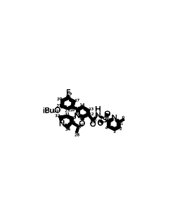 Cc1cccc(S(=O)(=O)NC(=O)c2ccc(-c3cc(F)cc(OCC(C)C)c3)nc2OC(C)c2cccnc2)n1